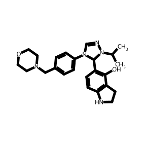 CC(C)N1N=CN(c2ccc(CN3CCOCC3)cc2)C1c1ccc2c(c1O)CCN2